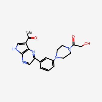 CC(C)(C)C(=O)c1c[nH]c2ncc(-c3cccc(N4CCN(C(=O)CO)CC4)c3)nc12